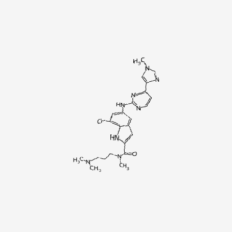 CN(C)CCCN(C)C(=O)c1cc2cc(Nc3nccc(-c4cn(C)cn4)n3)cc(Cl)c2[nH]1